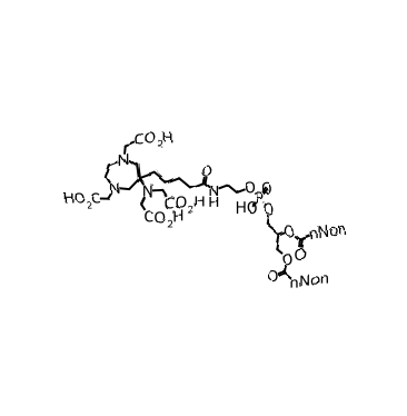 CCCCCCCCCC(=O)OCC(COP(=O)(O)OCCNC(=O)CCCCC1(N(CC(=O)O)CC(=O)O)CN(CC(=O)O)CCN(CC(=O)O)C1)OC(=O)CCCCCCCCC